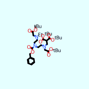 CCN(CCN(CCN(CC(=O)OC(C)(C)C)CC(C(=O)OC(C)(C)C)C(=O)OC(C)(C)C)C(=O)OCc1ccccc1)CC(=O)OC(C)(C)C